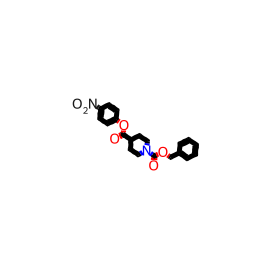 O=C(Oc1ccc([N+](=O)[O-])cc1)C1CCN(C(=O)OCc2ccccc2)CC1